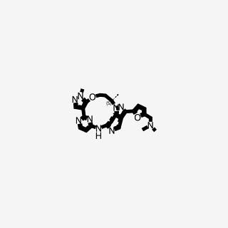 C[C@H]1CCOc2c(cnn2C)-c2nccc(n2)Nc2cc3c(cn2)c(-c2ccc(CN(C)C)o2)nn31